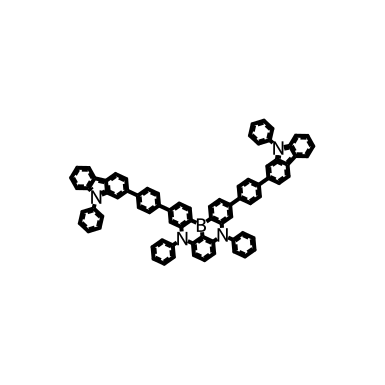 c1ccc(N2c3cc(-c4ccc(-c5ccc6c7ccccc7n(-c7ccccc7)c6c5)cc4)ccc3B3c4ccc(-c5ccc(-c6ccc7c8ccccc8n(-c8ccccc8)c7c6)cc5)cc4N(c4ccccc4)c4cccc2c43)cc1